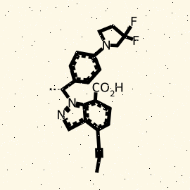 CC#Cc1ccc(C(=O)O)c2c1cnn2[C@H](C)c1ccc(N2CCC(F)(F)C2)cc1